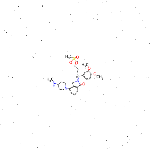 CNC1CCN(c2cccc3c2CN([C@H](CCCOS(C)(=O)=O)c2ccc(OC)c(OC)c2)C3=O)CC1